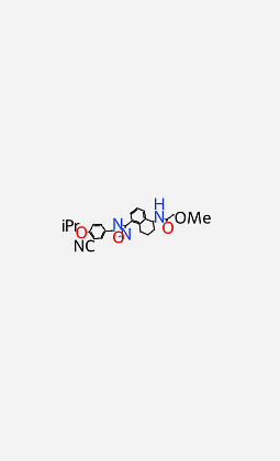 COCC(=O)N[C@H]1CCCc2c(-c3noc(-c4ccc(OC(C)C)c(C#N)c4)n3)cccc21